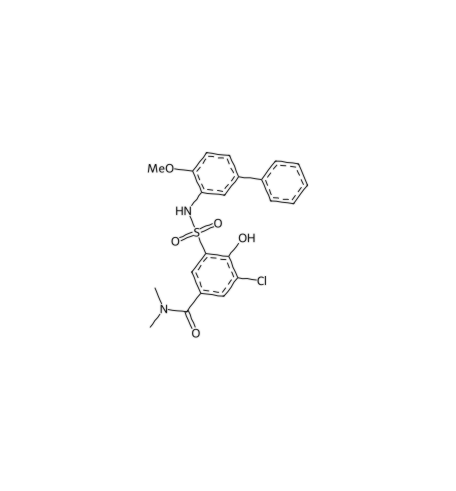 COc1ccc(-c2ccccc2)cc1NS(=O)(=O)c1cc(C(=O)N(C)C)cc(Cl)c1O